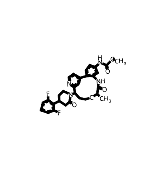 COC(=O)Nc1ccc2c(c1)NC(=O)C(C)CCCC(N1CCC(c3c(F)cccc3F)CC1=O)c1cc-2ccn1